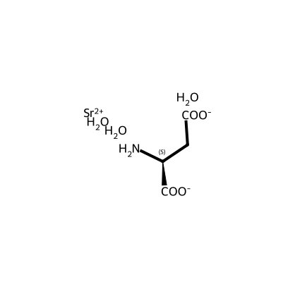 N[C@@H](CC(=O)[O-])C(=O)[O-].O.O.O.[Sr+2]